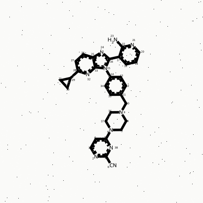 N#Cc1nccc(N2CCN(Cc3ccc(-n4c(-c5cccnc5N)nc5ccc(C6CC6)nc54)cc3)CC2)n1